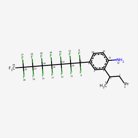 CC(C)CC(C)c1cc(C(F)(F)C(F)(F)C(F)(F)C(F)(F)C(F)(F)C(F)(F)C(F)(F)C(F)(F)F)ccc1N